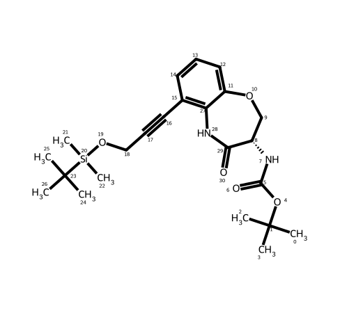 CC(C)(C)OC(=O)N[C@H]1COc2cccc(C#CCO[Si](C)(C)C(C)(C)C)c2NC1=O